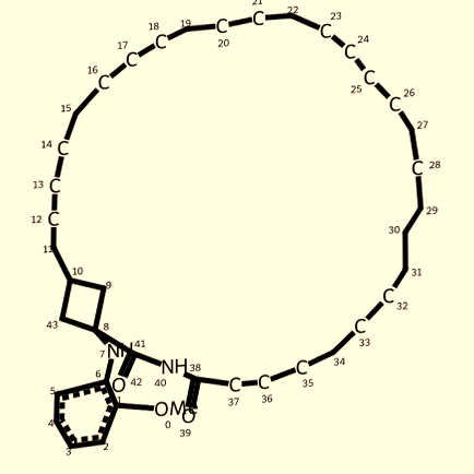 COc1ccccc1NC12CC(CCCCCCCCCCCCCCCCCCCCCCCCCCCC(=O)NC1=O)C2